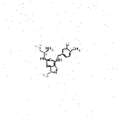 CC[C@@H](CN)Nc1nc(NCC2=CC=C(C)C(Cl)C2)c2cnn(C)c2n1